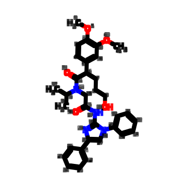 COc1ccc(C(CCCO)C(=O)N(CC(=O)Nc2nc(-c3ccccc3)cn2-c2ccccc2)C(C)C)cc1OC